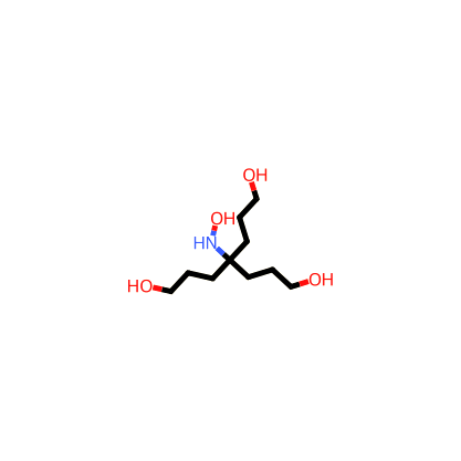 OCCCC(CCCO)(CCCO)NO